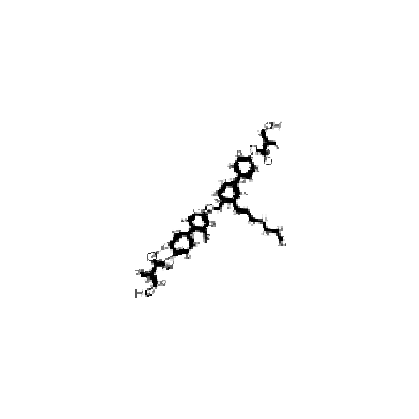 C=C(CO)C(=O)Oc1ccc(-c2ccc(COc3ccc(-c4ccc(OC(=O)C(=C)CO)cc4)c(F)c3)c(CCCCCCC)c2)cc1